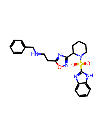 O=S(=O)(c1nc2ccccc2[nH]1)N1CCCCC1c1noc(CCNCc2ccccc2)n1